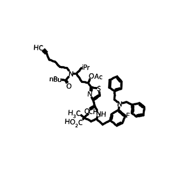 C#CCCCCN(C(=O)CCCC)C(CC(OC(C)=O)c1nc(C(=O)NC(Cc2ccc(F)c(N(Cc3ccccc3)Cc3ccccc3)c2)CC(C)(C)C(=O)O)cs1)C(C)C